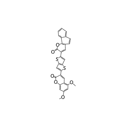 COc1cc(OC)c2cc(-c3cc4sc(-c5cc6ccc7ccccc7c6oc5=O)cc4s3)c(=O)oc2c1